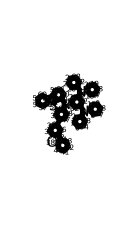 c1ccc(N(c2ccccc2)c2cc(N(c3ccccc3)c3ccccc3)cc(N(c3ccc(-c4ccc5oc6ccccc6c5c4)cc3)c3cccc4c3sc3ccccc34)c2)cc1